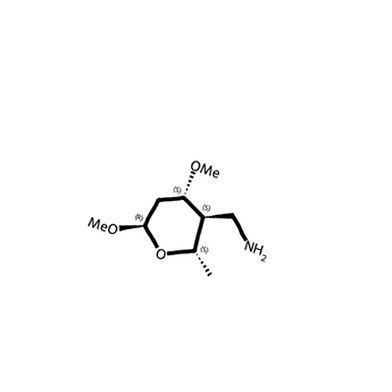 CO[C@H]1C[C@H](OC)[C@@H](CN)[C@H](C)O1